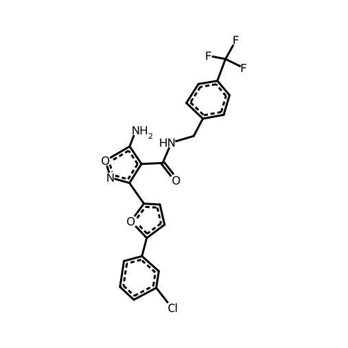 Nc1onc(-c2ccc(-c3cccc(Cl)c3)o2)c1C(=O)NCc1ccc(C(F)(F)F)cc1